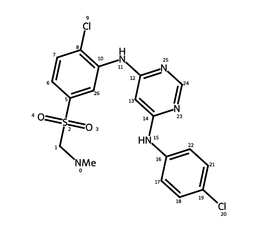 CNCS(=O)(=O)c1ccc(Cl)c(Nc2cc(Nc3ccc(Cl)cc3)ncn2)c1